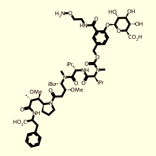 CCC(C)[C@@H]([C@@H](CC(=O)N1CCC[C@H]1[C@H](OC)[C@@H](C)C(=O)NC(Cc1ccccc1)C(=O)O)OC)N(C)C(=O)[C@@H](NC(=O)[C@H](C(C)C)N(C)C(=O)OCc1ccc(O[C@@H]2O[C@H](C(=O)O)[C@@H](O)[C@H](O)[C@H]2O)c(C(=O)NCCON)c1)C(C)C